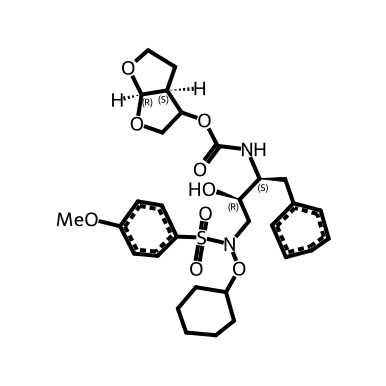 COc1ccc(S(=O)(=O)N(C[C@@H](O)[C@H](Cc2ccccc2)NC(=O)OC2CO[C@H]3OCC[C@@H]23)OC2CCCCC2)cc1